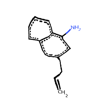 C=CCc1cc(N)c2ccccc2c1